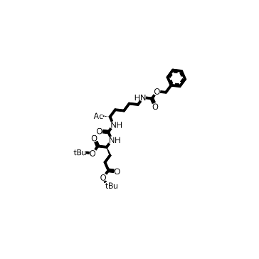 CC(=O)[C@H](CCCCNC(=O)OCc1ccccc1)NC(=O)N[C@@H](CCC(=O)OC(C)(C)C)C(=O)OC(C)(C)C